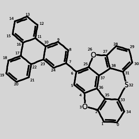 c1cc2oc3cc(-c4ccc5c6ccccc6c6ccccc6c5c4)c4oc5cccc6sc(c1)c2c3c4c56